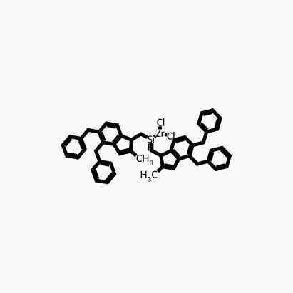 CC1=Cc2c(ccc(Cc3ccccc3)c2Cc2ccccc2)C1C[SiH](CC1C(C)=Cc2c1ccc(Cc1ccccc1)c2Cc1ccccc1)[Zr]([Cl])[Cl]